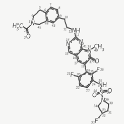 CC(=O)N1CCc2ccc(CCNc3ncc4cc(-c5c(F)ccc(NS(=O)(=O)N6CC[C@@H](F)C6)c5F)c(=O)n(C)c4n3)cc2C1